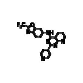 FC(F)(F)c1nc2ccc(Nc3nc(-c4ccncc4)nc4ncccc34)cc2o1